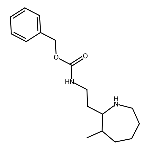 CC1CCCCNC1CCNC(=O)OCc1ccccc1